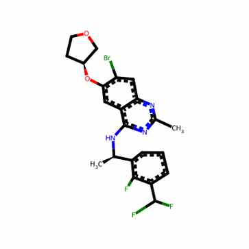 Cc1nc(N[C@H](C)c2cccc(C(F)F)c2F)c2cc(O[C@H]3CCOC3)c(Br)cc2n1